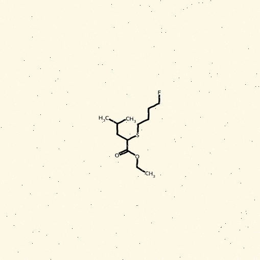 CCOC(=O)C(CC(C)C)SCCCCF